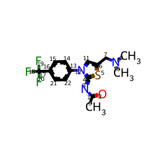 CC(=O)/N=c1\sc(CN(C)C)cn1-c1ccc(C(F)(F)F)cc1